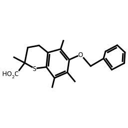 Cc1c(C)c2c(c(C)c1OCc1ccccc1)CCC(C)(C(=O)O)S2